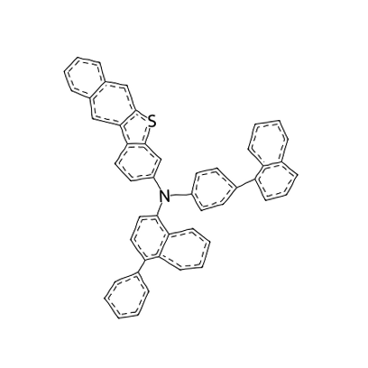 c1ccc(-c2ccc(N(c3ccc(-c4cccc5ccccc45)cc3)c3ccc4c(c3)sc3cc5ccccc5cc34)c3ccccc23)cc1